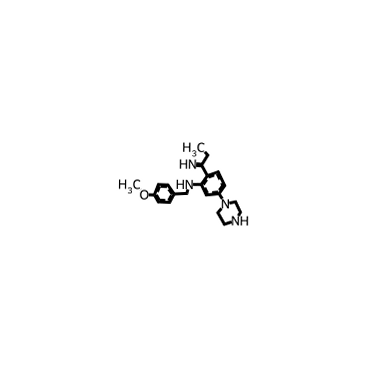 CCC(=N)c1ccc(N2CCNCC2)cc1NCc1ccc(OC)cc1